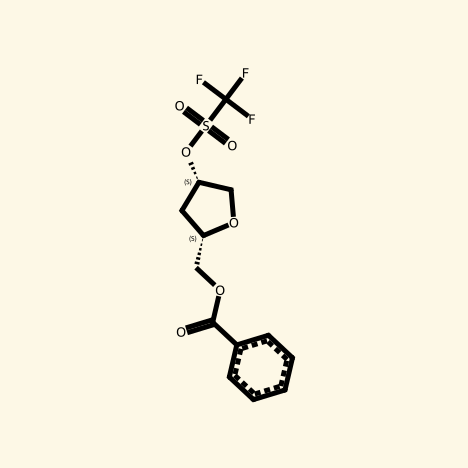 O=C(OC[C@@H]1C[C@H](OS(=O)(=O)C(F)(F)F)CO1)c1ccccc1